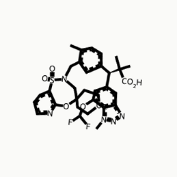 Cc1ccc([C@H](c2cc(OC(F)F)c3c(c2)nnn3C)C(C)(C)C(=O)O)cc1CN1CC2(CCOCC2)Oc2ncccc2S1(=O)=O